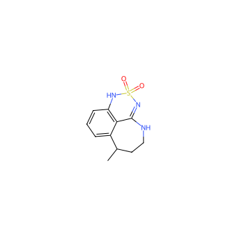 CC1CCNC2=NS(=O)(=O)Nc3cccc1c32